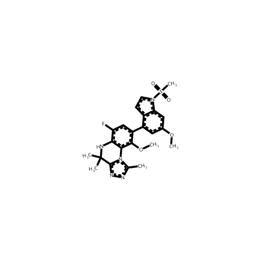 COc1cc(-c2cc(F)c3c(c2OC)-n2c(C)nnc2C(C)(C)N3)c2ccn(S(C)(=O)=O)c2c1